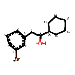 OC(Cc1cccc(Br)c1)C1CCCCC1